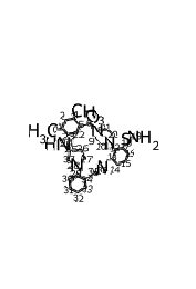 Cc1cc(C)c(C(=O)N2CCN(c3ccccc3SN)CC2)cc1NC1CCN(c2ccccc2C#N)C1